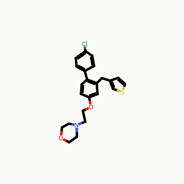 Clc1ccc(-c2ccc(OCCN3CCOCC3)cc2Cc2ccsc2)cc1